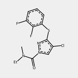 CCN(C)C(=O)n1cc(Cl)c(Sc2cccc(F)c2F)n1